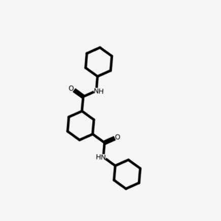 O=C(NC1CCCCC1)C1CCCC(C(=O)NC2CCCCC2)C1